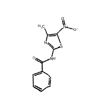 Cc1nc(NC(=O)c2ccccc2)sc1[N+](=O)[O-]